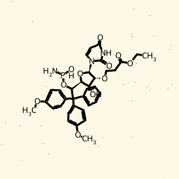 CCOC(=O)CCO[C@@H]1[C@H](O)[C@@H](C(OP(N)O)C(c2ccccc2)(c2ccc(OC)cc2)c2ccc(OC)cc2)O[C@H]1n1ccc(=O)[nH]c1=O